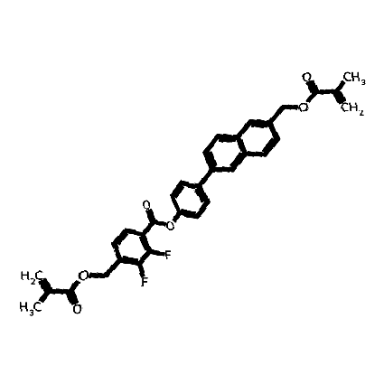 C=C(C)C(=O)OCc1ccc2cc(-c3ccc(OC(=O)c4ccc(COC(=O)C(=C)C)c(F)c4F)cc3)ccc2c1